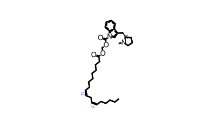 CCCCC/C=C\C/C=C\CCCCCCCC(=O)OCOC(=O)n1cc(C[C@H]2CCCN2C)c2ccccc21